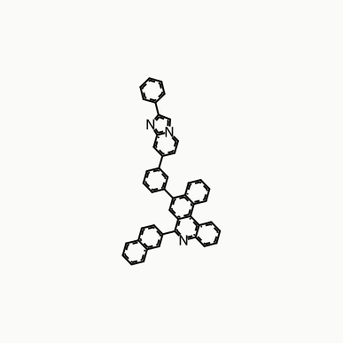 c1ccc(-c2cn3ccc(-c4cccc(-c5cc6c(-c7ccc8ccccc8c7)nc7ccccc7c6c6ccccc56)c4)cc3n2)cc1